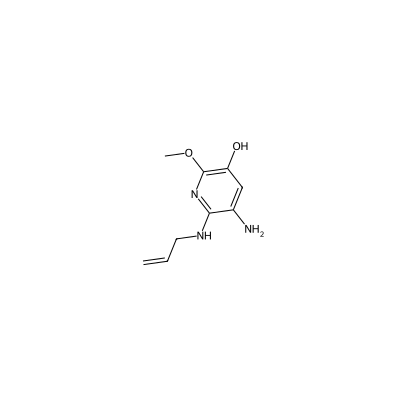 C=CCNc1nc(OC)c(O)cc1N